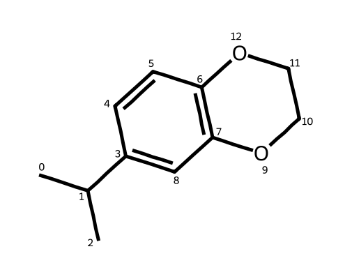 CC(C)c1ccc2c(c1)OCCO2